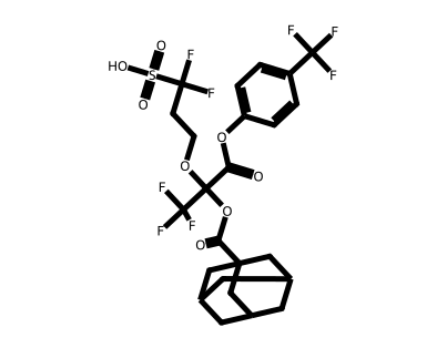 O=C(OC(OCCC(F)(F)S(=O)(=O)O)(C(=O)Oc1ccc(C(F)(F)F)cc1)C(F)(F)F)C12CC3CC(CC(C3)C1)C2